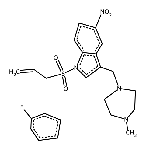 C=CCS(=O)(=O)n1cc(CN2CCN(C)CC2)c2cc([N+](=O)[O-])ccc21.Fc1ccccc1